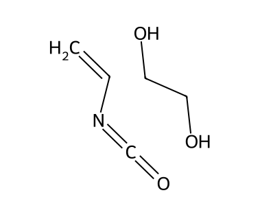 C=CN=C=O.OCCO